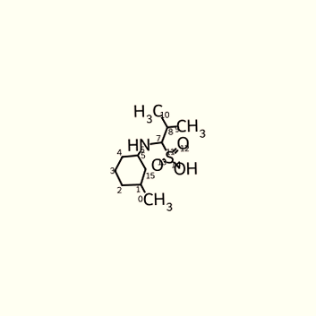 CC1CCCC(NC(C(C)C)S(=O)(=O)O)C1